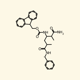 CC(CC(NC(=O)OCC1c2ccccc2-c2ccccc21)C(C)C(N)=O)C(=O)N[CH]c1ccccc1